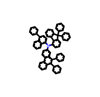 c1ccc(-c2ccc(N(c3ccc4c(c3)c(-c3ccccc3)c(-c3ccccc3)c3ccccc34)c3cccc4c3-c3ccccc3C4(c3ccccc3)c3ccccc3)c3ccccc23)cc1